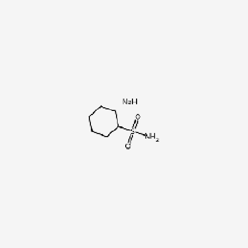 NS(=O)(=O)C1CCCCC1.[NaH]